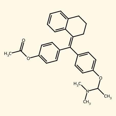 CC(=O)Oc1ccc(C(=C2CCCc3ccccc32)c2ccc(OC(C)N(C)C)cc2)cc1